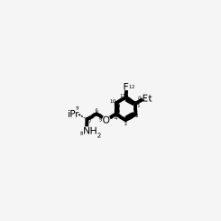 CCc1ccc(OC[C@H](N)C(C)C)cc1F